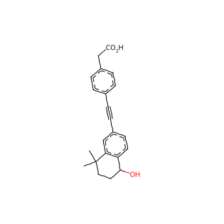 CC1(C)CCC(O)c2ccc(C#Cc3ccc(CC(=O)O)cc3)cc21